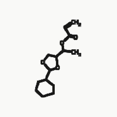 C=CC(=O)OC(C)C1COC(C2CCCCC2)O1